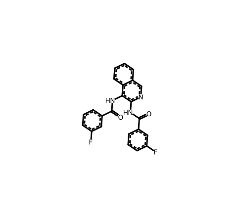 O=C(Nc1ncc2ccccc2c1NC(=O)c1cccc(F)c1)c1cccc(F)c1